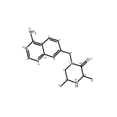 CC1CN(Cc2ccc3c(N)ncnc3c2)C(=O)C(C)N1